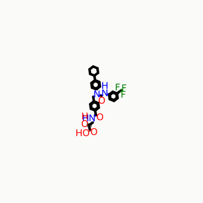 O=C(NC[C@@H](O)C(=O)O)c1ccc(CN(C(=O)Nc2cccc(C(F)(F)F)c2)c2ccc(C3CCCCC3)cc2)cc1